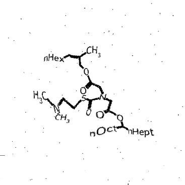 CCCCCC/C=C(/C)COC(=O)CN(CC(=O)OC(CCCCCCC)CCCCCCCC)C(=O)SCCN(C)C